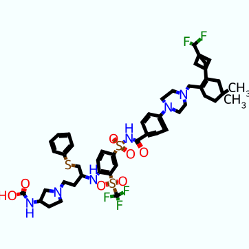 CC1(C)CCC(CN2CCN(c3ccc(C(=O)NS(=O)(=O)c4ccc(NC(CCN5CCC(NC(=O)O)C5)CSc5ccccc5)c(S(=O)(=O)C(F)(F)F)c4)cc3)CC2)=C(C23CC(C(F)F)(C2)C3)C1